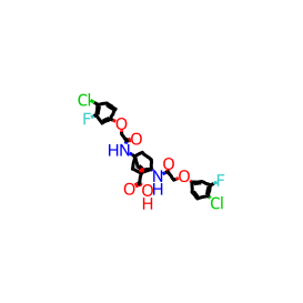 O=C(COc1ccc(Cl)c(F)c1)NC12C=C(C(=O)O)C(NC(=O)COc3ccc(Cl)c(F)c3)(CC1)CC2